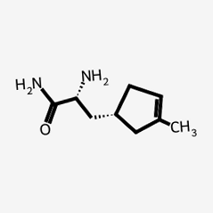 CC1=CC[C@@H](C[C@@H](N)C(N)=O)C1